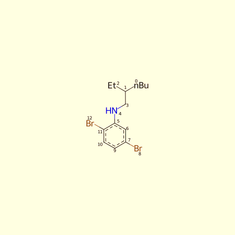 CCCCC(CC)CNc1cc(Br)ccc1Br